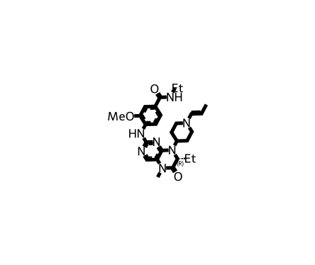 CC=CN1CCC(N2c3nc(Nc4ccc(C(=O)NCC)cc4OC)ncc3N(C)C(=O)[C@H]2CC)CC1